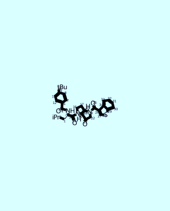 CC(C)C[C@H](NC(=O)c1ccc(C(C)(C)C)cc1)C(=O)N1CC[C@@H]2[C@H]1C(=O)CN2C(=O)c1csc2ccccc12